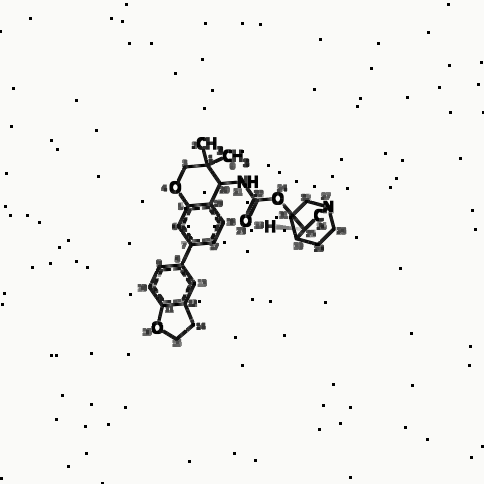 CC1(C)COc2cc(-c3ccc4c(c3)CCO4)ccc2C1NC(=O)O[C@H]1CN2CCC1CC2